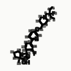 CCC(F)(CC)CN1CCC(COc2ccc(-c3ccc(C(=O)N4CCC[C@@]4(C)C(=O)O)c(F)c3)nc2)CC1